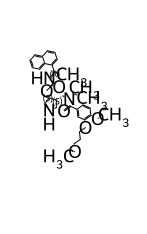 COCCCOc1cc(C(=O)N(C[C@@H]2CNC[C@H]2OC(=O)N[C@H](C)c2cccc3ccccc23)C(C)C)ccc1OC